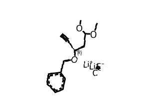 C#C[C@@H](CC(OC)OC)OCc1ccccc1.[C-]#[C-].[Li+].[Li+]